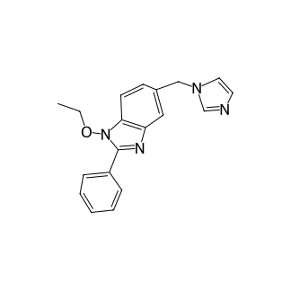 CCOn1c(-c2ccccc2)nc2cc(Cn3ccnc3)ccc21